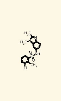 Cc1c(Cl)cccc1S(=O)(=O)Nc1ccc2nc(C)n(C)c2c1